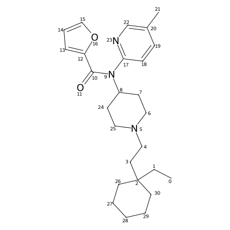 CCC1(CCN2CCC(N(C(=O)c3ccco3)c3ccc(C)cn3)CC2)CCCCC1